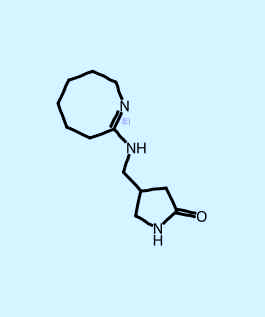 O=C1CC(CN/C2=N/CCCCCC2)CN1